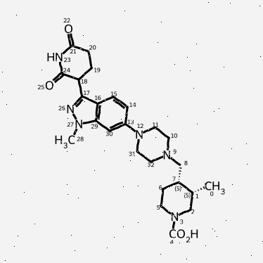 C[C@@H]1CN(C(=O)O)CC[C@@H]1CN1CCN(c2ccc3c(C4CCC(=O)NC4=O)nn(C)c3c2)CC1